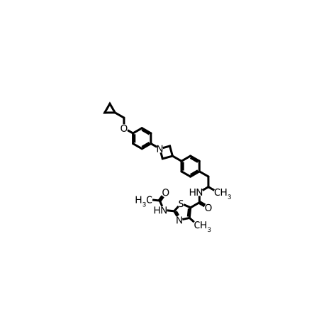 CC(=O)Nc1nc(C)c(C(=O)NC(C)Cc2ccc(C3CN(c4ccc(OCC5CC5)cc4)C3)cc2)s1